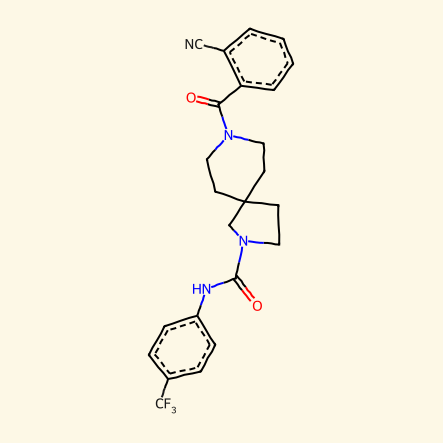 N#Cc1ccccc1C(=O)N1CCC2(CCN(C(=O)Nc3ccc(C(F)(F)F)cc3)C2)CC1